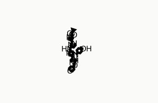 CC1(O)CCC(Nc2cc(Nc3ccnc(-c4cnn(S(=O)(=O)C5CC5)c4)n3)ncc2-c2cnc(OC3CCOCC3)cn2)CC1